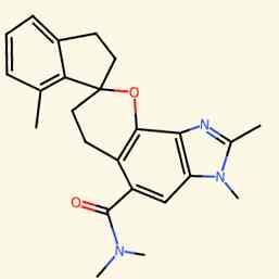 Cc1cccc2c1C1(CC2)CCc2c(C(=O)N(C)C)cc3c(nc(C)n3C)c2O1